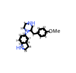 COc1ccc(CC2CNCCN2c2ccc3c(c2)CCN3)cc1